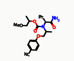 COCC(C)OC(=O)N(C(C)COc1ccc(C#N)cc1)[C@H](C(N)=O)C(C)C